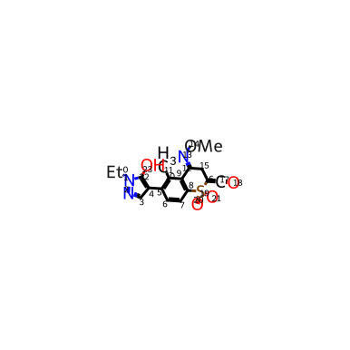 CCn1ncc(-c2ccc3c(c2C)C(=NOC)CC(=C=O)S3(=O)=O)c1O